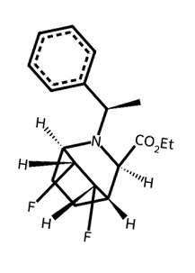 CCOC(=O)[C@H]1[C@@H]2CC[C@H]([C@@H](F)[C@H]2F)N1[C@H](C)c1ccccc1